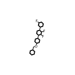 Fc1cccc(-c2ccc(-c3ccc(OCc4ccccc4)cc3)c(F)c2F)c1